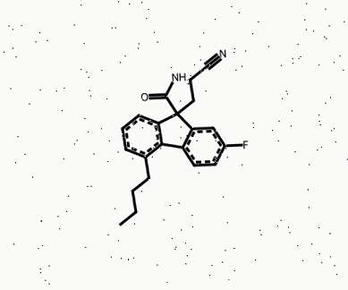 CCCCc1cccc2c1-c1ccc(F)cc1C2(CCC#N)C(N)=O